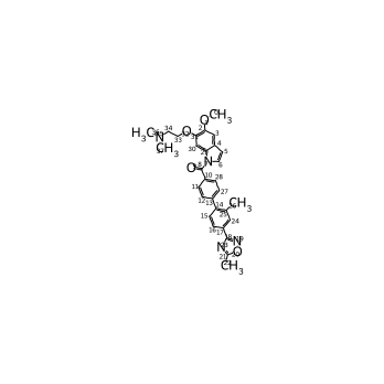 COc1cc2ccn(C(=O)c3ccc(-c4ccc(-c5noc(C)n5)cc4C)cc3)c2cc1OCCN(C)C